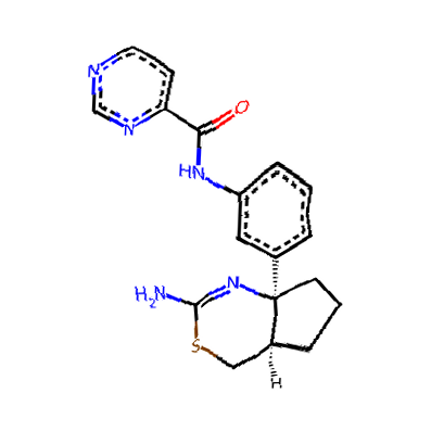 NC1=N[C@@]2(c3cccc(NC(=O)c4ccncn4)c3)CCC[C@H]2CS1